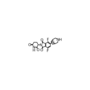 O=C1CCC(N2C(=O)c3c(F)cc(N4C5CCC4CNC5)c(F)c3C2=O)C(=O)N1